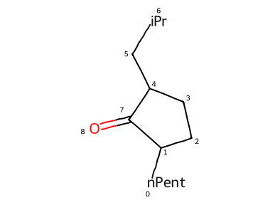 CCCCCC1CCC(CC(C)C)C1=O